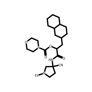 CCN1CCC(C#N)(NC(=O)C(CC2CCC3CCCCC3C2)OC(=O)N2CCOCC2)C1